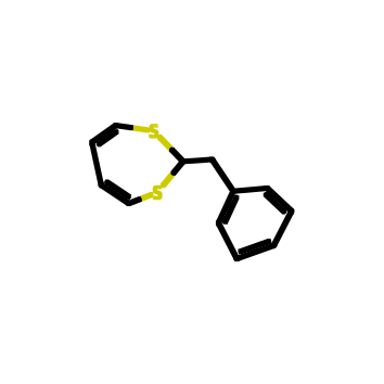 C1=CSC(Cc2ccccc2)SC=C1